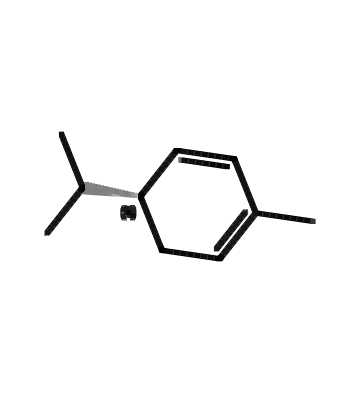 CC1=CC[C@H](C(C)C)C=C1